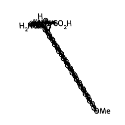 COCCOCCOCCOCCOCCOCCOCCOCCOCCOCCOCCOCCOCCOCCOCCOCCOCCOCCOCCOCCOCCOCCOCCOCCNC(=O)C(CCC(=O)NCCCCCC(=O)O)NC(=O)Cc1c(C)c2ccc(N)cc2oc1=O